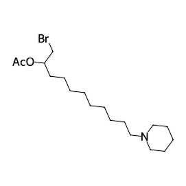 CC(=O)OC(CBr)CCCCCCCCCN1CCCCC1